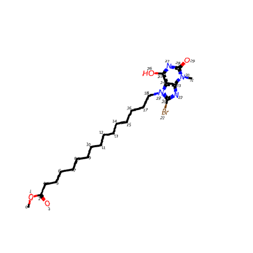 COC(=O)CCCCCCCCCCCCCCCn1c(Br)nc2c1c(O)nc(=O)n2C